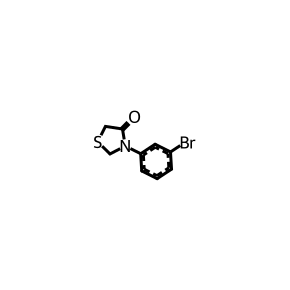 O=C1CSCN1c1cccc(Br)c1